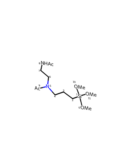 CO[Si](CCCN(CCNC(C)=O)C(C)=O)(OC)OC